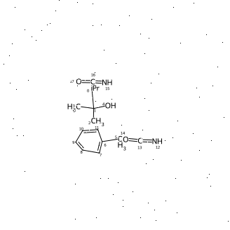 CC(C)C(C)(C)O.Cc1ccccc1.N=C=O.N=C=O